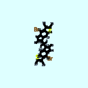 CC1=C(C(C)(C)C2=C(C)C=C3C2=CC2SC(C)=C(C)C2=C3Br)C2=CC3SC(C)=C(C)C3=C(Br)C2=C1